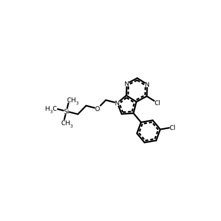 C[Si](C)(C)CCOCn1cc(-c2cccc(Cl)c2)c2c(Cl)ncnc21